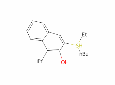 CCCC[SH](CC)c1cc2ccccc2c(C(C)C)c1O